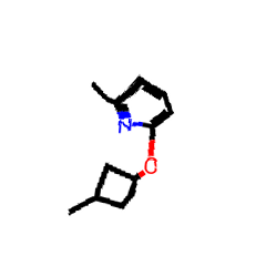 Cc1cccc(OC2CC(C)C2)n1